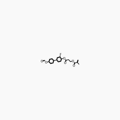 C=C(C)C(=O)OCCC(=O)Oc1ccc(-c2ccc(OC=O)cc2)cc1F